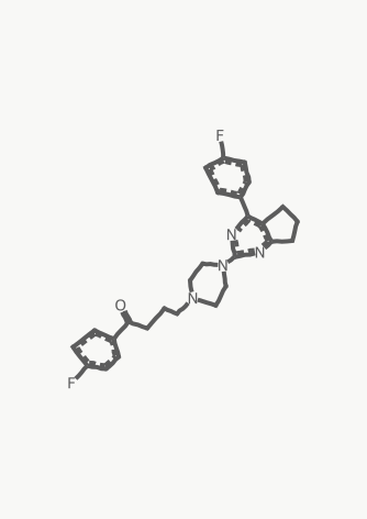 O=C(CCCN1CCN(c2nc3c(c(-c4ccc(F)cc4)n2)CCC3)CC1)c1ccc(F)cc1